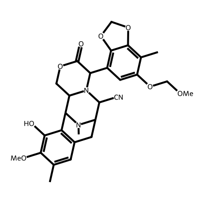 COCOc1cc(C2C(=O)OCC3C4c5c(cc(C)c(OC)c5O)CC(C(C#N)N23)N4C)c2c(c1C)OCO2